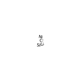 [C].[Li].[Ni].[Si]